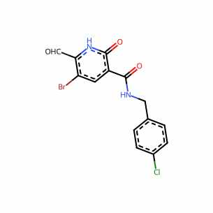 O=Cc1[nH]c(=O)c(C(=O)NCc2ccc(Cl)cc2)cc1Br